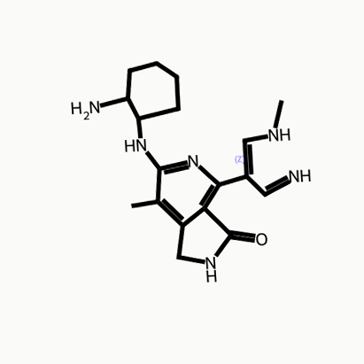 CN/C=C(\C=N)c1nc(NC2CCCCC2N)c(C)c2c1C(=O)NC2